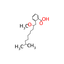 COC(CCCCCCC(C)C)Cc1ccccc1C(=O)O